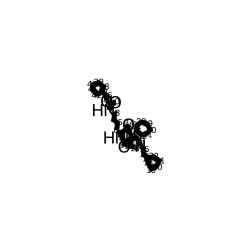 O=C(NCCCC[C@@H]1NC(=O)C2(CCN(CCc3ccccc3)CC2)N(C2CCCCCC2)C1=O)OCc1ccccc1